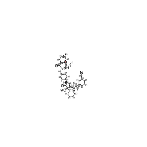 CCC(=O)N[C@H](Cc1ccc(NC(=O)[C@](O)(NC(=O)C(F)(F)c2cccc(C#N)c2)C2CCCCC2)cc1)C(=O)N1CCN(C)CC1